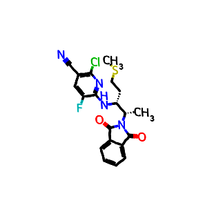 CSCC[C@@H](Nc1nc(Cl)c(C#N)cc1F)[C@H](C)N1C(=O)c2ccccc2C1=O